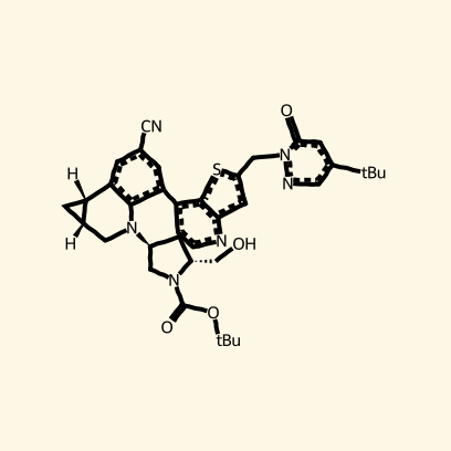 CC(C)(C)OC(=O)N1C[C@@H](N2C[C@@H]3C[C@@H]3c3cc(C#N)cc(-c4ccnc5cc(Cn6ncc(C(C)(C)C)cc6=O)sc45)c32)C[C@@H]1CO